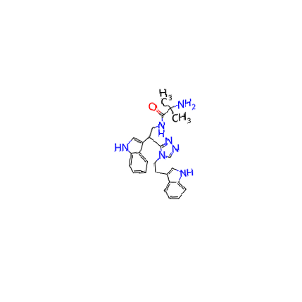 CC(C)(N)C(=O)NCC(c1c[nH]c2ccccc12)c1nncn1CCc1c[nH]c2ccccc12